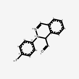 O=CC1c2ccccc2C=NN1c1ccc(F)cc1